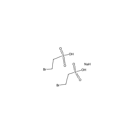 O=S(=O)(O)CCBr.O=S(=O)(O)CCBr.[NaH]